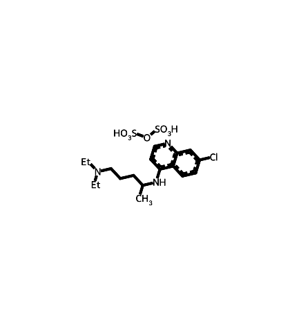 CCN(CC)CCCC(C)Nc1ccnc2cc(Cl)ccc12.O=S(=O)(O)OS(=O)(=O)O